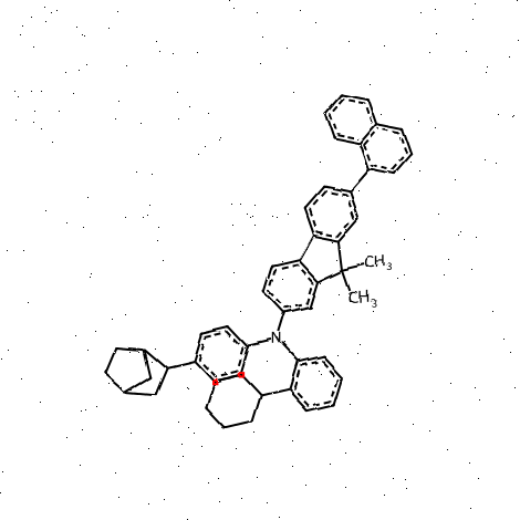 CC1(C)c2cc(-c3cccc4ccccc34)ccc2-c2ccc(N(c3ccc(C4CC5CCC4C5)cc3)c3ccccc3C3CCCCC3)cc21